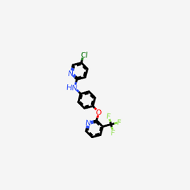 FC(F)(F)c1cccnc1Oc1ccc(Nc2ccc(Cl)cn2)cc1